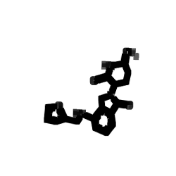 C=C1CCC(N2Cc3c(NCc4ccco4)cccc3C2=O)C(=O)N1